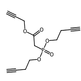 C#CCCOP(=O)(CC(=O)OCC#C)OCCC#C